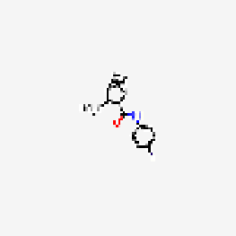 O=C(O)C1C(C(=O)Nc2ccc(I)cc2)C2C=CC1C21CC1